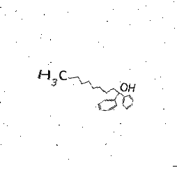 CCCCCCCCCC(O)(c1ccccc1)c1ccccc1